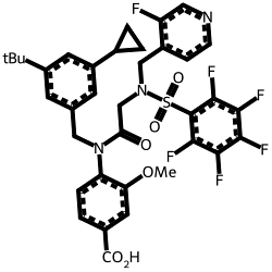 COc1cc(C(=O)O)ccc1N(Cc1cc(C2CC2)cc(C(C)(C)C)c1)C(=O)CN(Cc1ccncc1F)S(=O)(=O)c1c(F)c(F)c(F)c(F)c1F